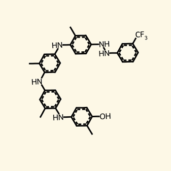 Cc1cc(Nc2ccc(Nc3ccc(Nc4ccc(NNc5cccc(C(F)(F)F)c5)cc4C)cc3C)cc2C)ccc1O